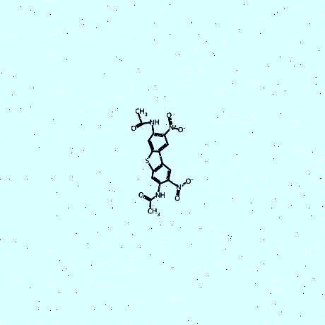 CC(=O)Nc1cc2sc3cc(NC(C)=O)c([N+](=O)[O-])cc3c2cc1[N+](=O)[O-]